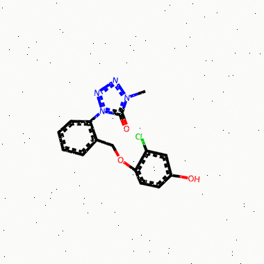 Cn1nnn(-c2ccccc2COc2ccc(O)cc2Cl)c1=O